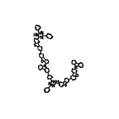 c1ccc(C2=NC(c3ccc4sc5cc(-c6ccc7oc8cc(-n9c%10ccccc%10c%10ccccc%109)ccc8c7c6)ccc5c4c3)NC(c3ccc(-c4ccc5c(c4)c4ccccc4n5-c4cccc5c4oc4ccc(-c6ccc7c(c6)sc6ccc(C8N=C(c9ccccc9)N=C(c9ccccc9)N8)cc67)cc45)cc3)=N2)cc1